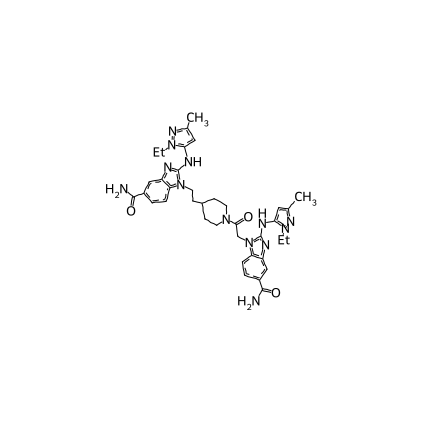 CCn1nc(C)cc1Nc1nc2cc(C(N)=O)ccc2n1CCC1CCN(C(=O)Cn2c(Nc3cc(C)nn3CC)nc3cc(C(N)=O)ccc32)CC1